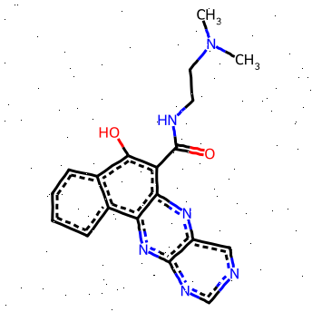 CN(C)CCNC(=O)c1c(O)c2ccccc2c2nc3ncncc3nc12